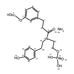 CCCCCCCCCCOc1cccc(CCC(=O)N(CCOP(=O)(O)O)CCc2ccc(O)cc2)c1.N